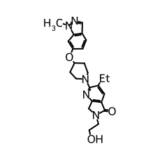 CCc1cc2c(nc1N1CCC(Oc3ccc4cnn(C)c4c3)CC1)CN(CCO)C2=O